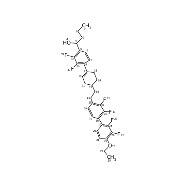 CCCC(O)c1ccc(C2=CCC(CCc3ccc(-c4ccc(OCC)c(F)c4F)c(F)c3F)CC2)c(F)c1F